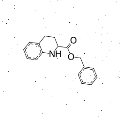 O=C(OCc1ccccc1)C1CCc2ccccc2N1